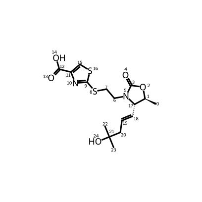 C[C@@H]1OC(=O)N(CCSc2nc(C(=O)O)cs2)[C@H]1/C=C/CC(C)(C)O